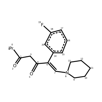 CC(C)C(=O)CC(=O)C(=CN1CCCCC1)c1cccc(F)c1